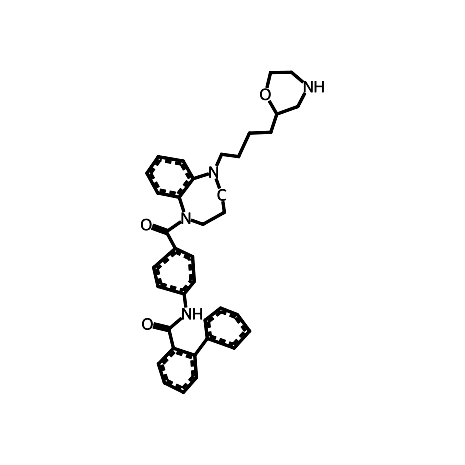 O=C(Nc1ccc(C(=O)N2CCCN(CCCCC3CNCCO3)c3ccccc32)cc1)c1ccccc1-c1ccccc1